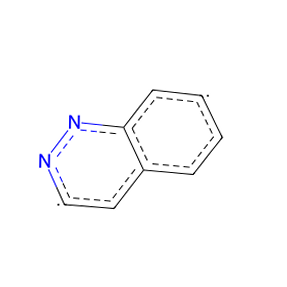 [c]1ccc2c[c]nnc2c1